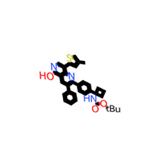 Cc1csc(-c2cnc(O)c3cc(-c4ccccc4)c(-c4ccc(C5(NC(=O)OC(C)(C)C)CCC5)cc4)nc23)c1